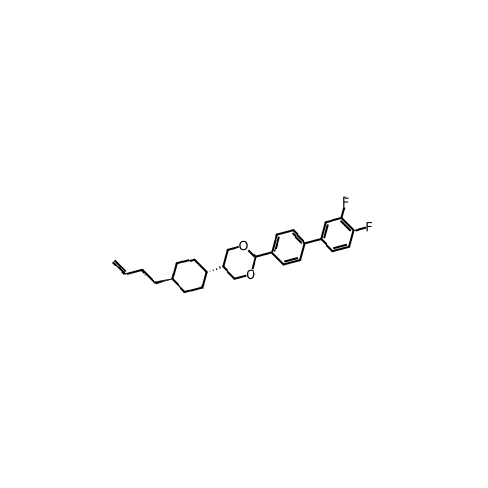 C=CCC[C@H]1CC[C@H](C2COC(c3ccc(-c4ccc(F)c(F)c4)cc3)OC2)CC1